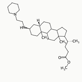 COC(=O)CC[C@@H](C)C1CCC2C3CC[C@H]4C[C@H](NCCN5CCCCC5)CCC4(C)C3CCC21C